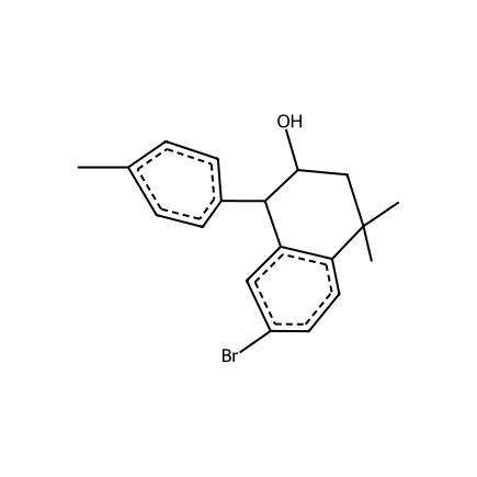 Cc1ccc(C2c3cc(Br)ccc3C(C)(C)CC2O)cc1